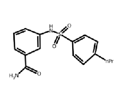 CCCc1ccc(S(=O)(=O)Nc2cccc(C(N)=O)c2)cc1